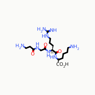 N=C(N)NCCC[C@H](NC(=O)CNC(=O)CCN)C(=O)N[C@@H](CCCCN)C(=O)O